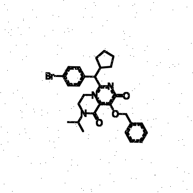 CC(C)N1CCn2c(C(c3ccc(Br)cc3)C3CCCC3)nc(=O)c(OCc3ccccc3)c2C1=O